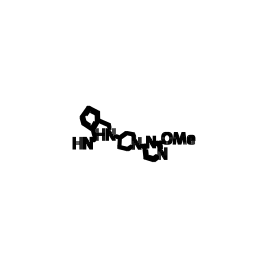 COc1nccc(N2CCC(NCc3ccccc3C=N)CC2)n1